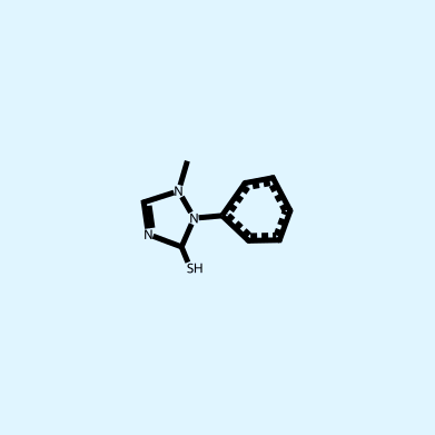 CN1C=NC(S)N1c1ccccc1